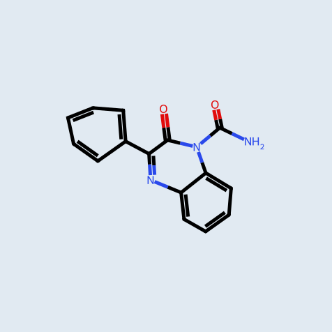 NC(=O)n1c(=O)c(-c2ccccc2)nc2ccccc21